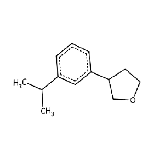 CC(C)c1cccc(C2CCOC2)c1